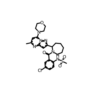 Cc1cc(N2CCOCC2)n2nc(C3CCCCCN3C(=O)c3cc(Cl)ccc3NS(C)(=O)=O)cc2n1